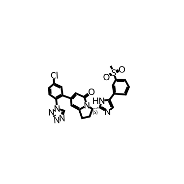 CS(=O)(=O)c1cccc(-c2cnc([C@@H]3CCc4cc(-c5cc(Cl)ccc5-n5cnnn5)cc(=O)n43)[nH]2)c1